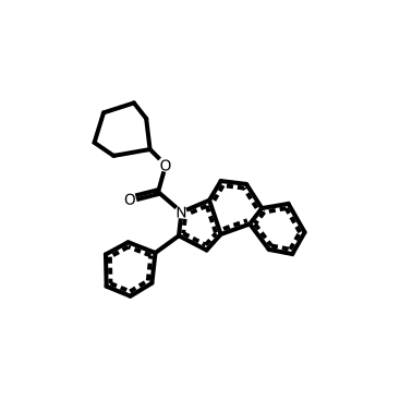 O=C(OC1CCCCC1)n1c(-c2ccccc2)cc2c3ccccc3ccc21